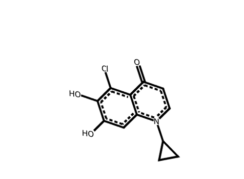 O=c1ccn(C2CC2)c2cc(O)c(O)c(Cl)c12